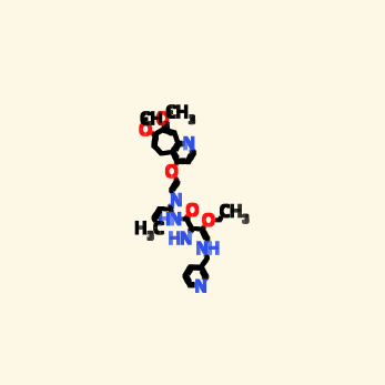 C\C=C/C(=N\C=C\Oc1ccnc2c1CC=C(OC)C(OC)=C2)NC(=O)C(=N)/C(=C\NCc1cccnc1)OCC